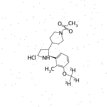 Cl.[2H]C([2H])([2H])Oc1cccc([C@H]2NCCC2C2CCN(S(C)(=O)=O)CC2)c1C